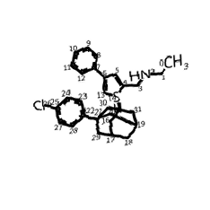 CCNCC1=CC(c2ccccc2)=C[SH]1C12CC3CC(CC(c4ccc(Cl)cc4)(C3)C1)C2